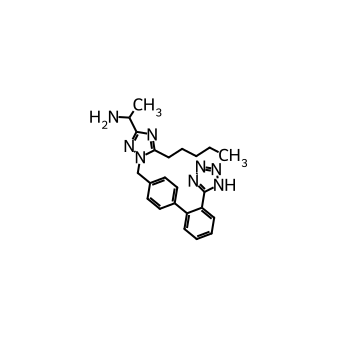 CCCCCc1nc(C(C)N)nn1Cc1ccc(-c2ccccc2-c2nnn[nH]2)cc1